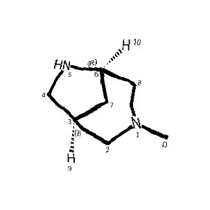 CN1C[C@H]2CN[C@H](C2)C1